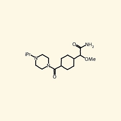 COC(C(N)=O)C1CCC(C(=O)N2CCN(C(C)C)CC2)CC1